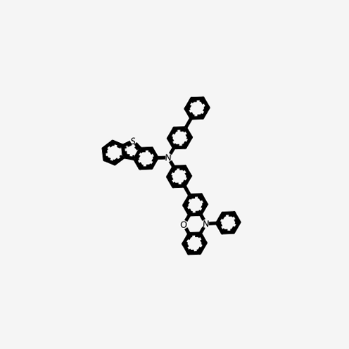 c1ccc(-c2ccc(N(c3ccc(-c4ccc5c(c4)Oc4ccccc4N5c4ccccc4)cc3)c3ccc4c(c3)sc3ccccc34)cc2)cc1